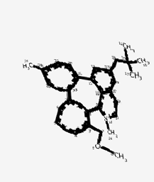 COCc1cccc2c1-c1c3c(cc(CC(C)(C)C)cc3cc[n+]1C)-c1ccc(C)cc1-2